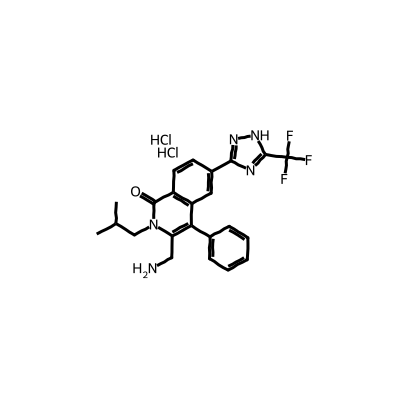 CC(C)Cn1c(CN)c(-c2ccccc2)c2cc(-c3n[nH]c(C(F)(F)F)n3)ccc2c1=O.Cl.Cl